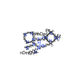 CCCCCCCCCCCCCC(CCN(CCCNCCCC1=C(C)c2cc3[nH]c(cc4nc(cc5[nH]c(cc1n2)c(CCCNCCCN1CCCN(C)CCCCN(C)CCCN(C)C(CCCCCCCCCCCCC)CC1)c5C)C(CC)=C4C)c(CC)c3C)CCCN(C)CCCCN(C)C)N(C)CCC